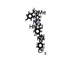 COC(C)c1ccc(C)cc1N1C(=O)CS/C1=N\C(=O)Nc1ccc(-c2ncn(-c3ccc(C(F)(F)F)cc3)n2)cc1Cl